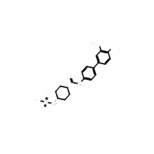 Cc1ccc(-c2ccc(NC(=O)[C@H]3CC[C@H](NS(=O)(=O)C(C)C)CC3)cc2)cc1C